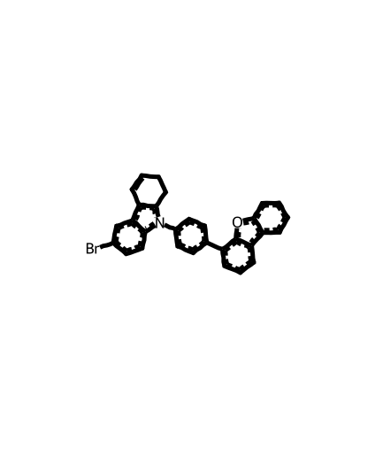 Brc1ccc2c(c1)c1c(n2-c2ccc(-c3cccc4c3oc3ccccc34)cc2)CCC=C1